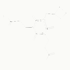 O=C(O)CCn1c(=O)n(CCC(=O)O)c(=O)n(CC2CCC2)c1=O